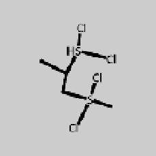 CC(CS(C)(Cl)Cl)[SH](Cl)Cl